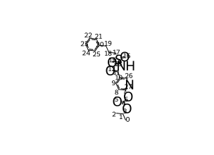 CC(C)OC(=O)Oc1ccc(C(=O)NS(=O)(=O)CCCc2ccccc2)cn1